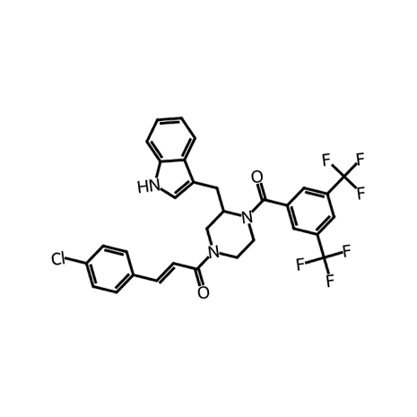 O=C(C=Cc1ccc(Cl)cc1)N1CCN(C(=O)c2cc(C(F)(F)F)cc(C(F)(F)F)c2)C(Cc2c[nH]c3ccccc23)C1